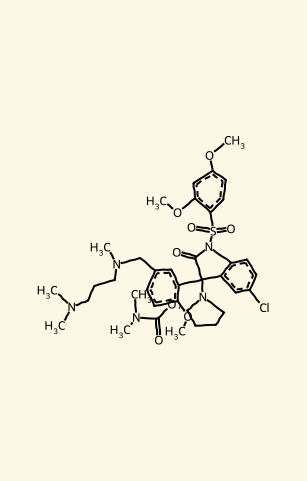 COc1ccc(S(=O)(=O)N2C(=O)C(c3cc(CN(C)CCCN(C)C)ccc3OC)(N3CCC[C@@H]3OC(=O)N(C)C)c3cc(Cl)ccc32)c(OC)c1